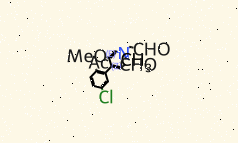 COC(=C/N(C)CC=O)/C(=C\C=O)c1cc(Cl)ccc1C(C)=O